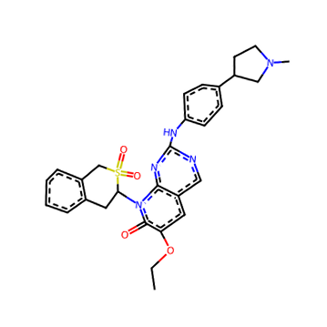 CCOc1cc2cnc(Nc3ccc(C4CCN(C)C4)cc3)nc2n(C2Cc3ccccc3CS2(=O)=O)c1=O